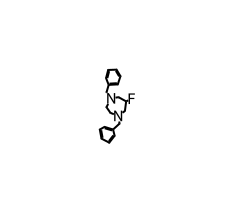 FC1CN(Cc2ccccc2)CCN(Cc2ccccc2)C1